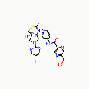 CC1=N[C@@]2(c3cc(NC(=O)c4cnc(CO)cn4)ccn3)CN(c3ncc(F)cn3)C[C@H]2CS1